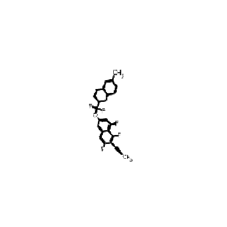 CC1CCC2CC(C(F)(F)Oc3cc(F)c4c(F)c(C#CC(F)(F)F)c(F)cc4c3)CCC2C1